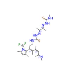 C/N=C(C)/C=C(C)\C(C)=C(/CCNC(=S)N/N=C(C)/C(C)=N/NC(=S)NC)c1c(C)cc(C)n1B(F)F